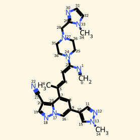 C=N/C(=C\C=C(/C)c1cc(-c2cnn(C)c2)cn2ncc(C#N)c12)N1CCN(Cc2nccn2C)CC1